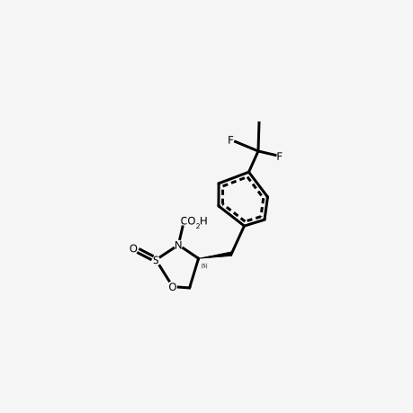 CC(F)(F)c1ccc(C[C@H]2COS(=O)N2C(=O)O)cc1